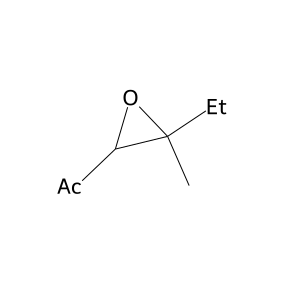 CCC1(C)OC1C(C)=O